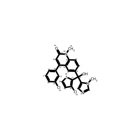 Cn1cncc1C(O)(c1ccc2c(c1)c(-c1cccc(Cl)c1)cc(=O)n2C)c1sccc1Cl